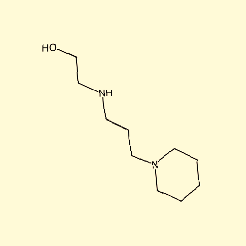 OCCNCCCN1CCCCC1